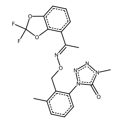 CC(=NOCc1c(C)cccc1-n1nnn(C)c1=O)c1cccc2c1OC(F)(F)O2